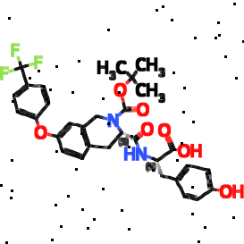 CC(C)(C)OC(=O)N1Cc2cc(Oc3ccc(C(F)(F)F)cc3)ccc2C[C@H]1C(=O)N[C@@H](Cc1ccc(O)cc1)C(=O)O